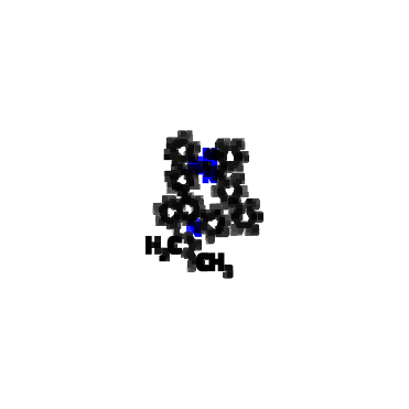 C=C/C(=C\C=C/C)n1c2ccccc2c2cc(-c3ccc4c5ccccc5n(-c5nc(-c6ccc(-c7ccccc7)cc6)c6ccccc6n5)c4c3)c3ccccc3c21